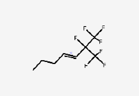 CCC/C=C/C(F)(C(F)(F)F)C(F)(F)F